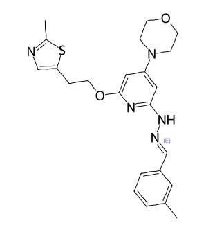 Cc1cccc(/C=N/Nc2cc(N3CCOCC3)cc(OCCc3cnc(C)s3)n2)c1